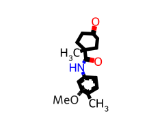 COc1cc(NC(=O)C2(C)CCC(=O)CC2)ccc1C